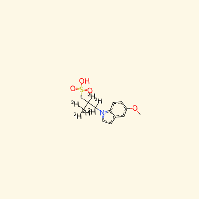 [2H]C([2H])([2H])C([2H])(CS(=O)(=O)O)C([2H])([2H])n1ccc2cc(OC)ccc21